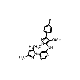 COc1c(-c2ccc(F)cc2)nn(C)c1Nc1cc(-n2nc(C)cc2C)ncn1